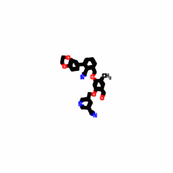 Cc1cc(C=O)c(OCc2cncc(C#N)c2)cc1OCc1cccc(-c2ccc3c(c2)OCCO3)c1C#N